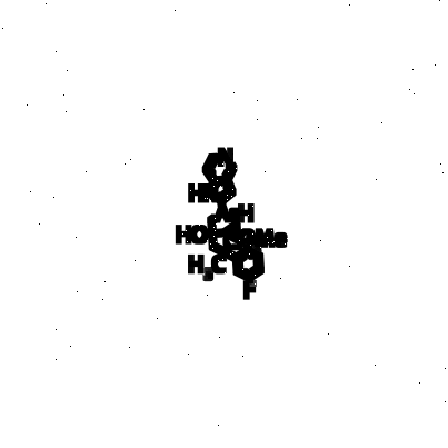 COc1ccc(F)cc1C(C)(C)CC(O)(C[AsH]c1cc2cnccc2[nH]1)C1CC1